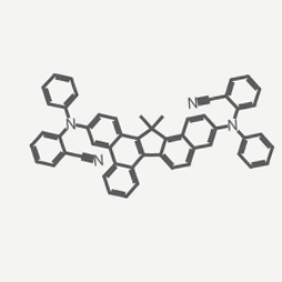 CC1(C)c2c(ccc3cc(N(c4ccccc4)c4ccccc4C#N)ccc23)-c2c1c1ccc(N(c3ccccc3)c3ccccc3C#N)cc1c1ccccc21